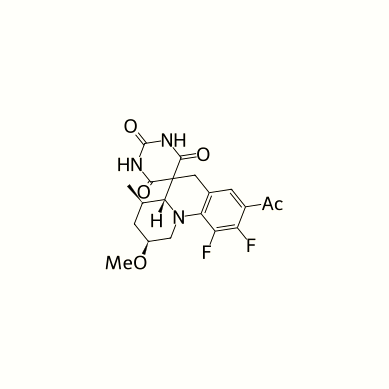 CO[C@H]1C[C@@H](C)[C@H]2N(C1)c1c(cc(C(C)=O)c(F)c1F)CC21C(=O)NC(=O)NC1=O